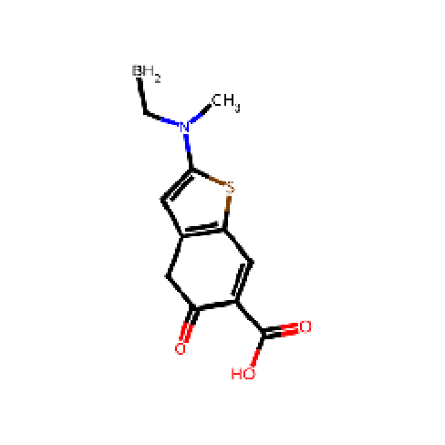 BCN(C)c1cc2c(s1)C=C(C(=O)O)C(=O)C2